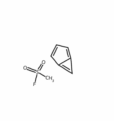 CS(=O)(=O)F.c1cc2cc-2c1